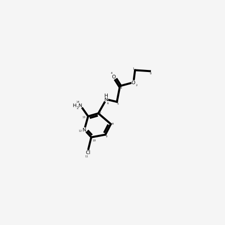 CCOC(=O)CNc1ccc(Cl)nc1N